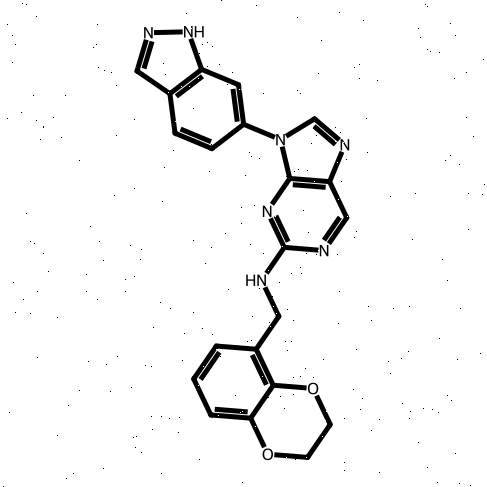 c1cc(CNc2ncc3ncn(-c4ccc5cn[nH]c5c4)c3n2)c2c(c1)OCCO2